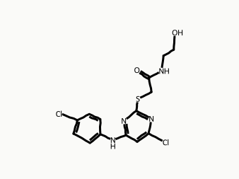 O=C(CSc1nc(Cl)cc(Nc2ccc(Cl)cc2)n1)NCCO